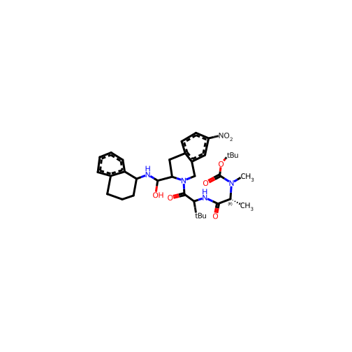 C[C@H](C(=O)NC(C(=O)N1Cc2cc([N+](=O)[O-])ccc2CC1C(O)NC1CCCc2ccccc21)C(C)(C)C)N(C)C(=O)OC(C)(C)C